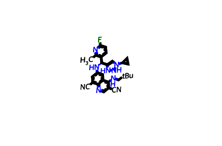 Cc1nc(F)ccc1[C@H](Nc1cc(C#N)c2ncc(C#N)c(NCC(C)(C)C)c2c1)C1=CN(C2CC2)NN1